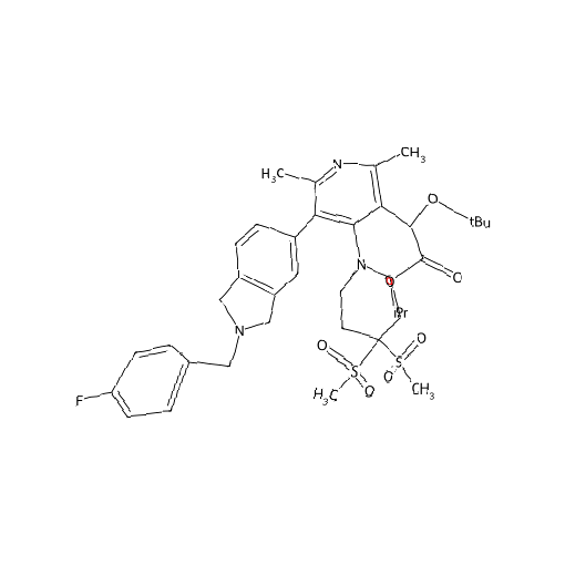 Cc1nc(C)c(C(OC(C)(C)C)C(=O)OC(C)C)c(N2CCC(S(C)(=O)=O)(S(C)(=O)=O)CC2)c1-c1ccc2c(c1)CN(Cc1ccc(F)cc1)C2